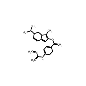 C=NC(=C)NC1=CC=C(C(=C)OC2=C(C)C3CC(C(N)N)C=CC3=C2)CC1